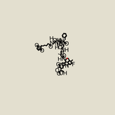 CC[C@@]1(O)C(=O)OCc2c1cc1n(c2=O)Cc2c-1nc1cc(F)c(C)c3c1c2[C@@H](NC(=O)C[C@@H](C)OCNC(=O)CNC(=O)[C@H](Cc1ccccc1)NC(=O)CNC(O)CNC(=O)CCCCCN1C(=O)C=CC1=O)CC3